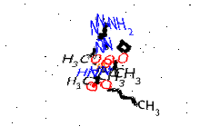 CCCCCCOC(=O)C(C)(C)N[P@](=O)(CO[C@H](C)Cn1cnc2c(N)ncnc21)N[C@H](C)C(=O)OC1CCC1